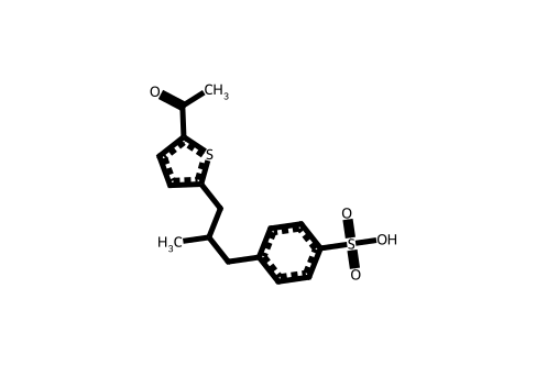 CC(=O)c1ccc(CC(C)Cc2ccc(S(=O)(=O)O)cc2)s1